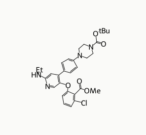 CCNc1cc(-c2ccc(N3CCN(C(=O)OC(C)(C)C)CC3)cc2)c(Oc2cccc(Cl)c2C(=O)OC)cn1